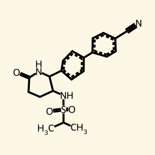 CC(C)S(=O)(=O)NC1CCC(=O)NC1c1ccc(-c2ccc(C#N)cc2)cc1